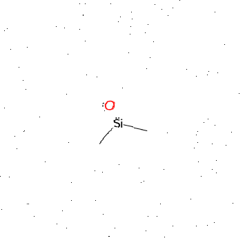 C[Si]C.[O]